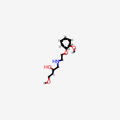 COCCC(O)CNCCOc1ccccc1OC